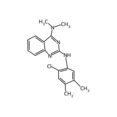 [CH2]c1cc(Cl)c(Nc2nc(N(C)C)c3ccccc3n2)cc1C